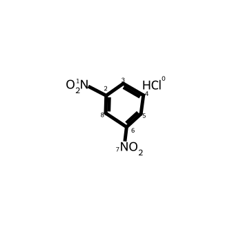 Cl.O=[N+]([O-])c1cccc([N+](=O)[O-])c1